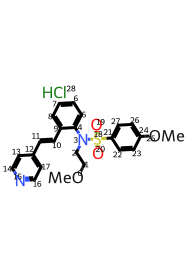 COCCN(c1ccccc1C=Cc1ccncc1)S(=O)(=O)c1ccc(OC)cc1.Cl